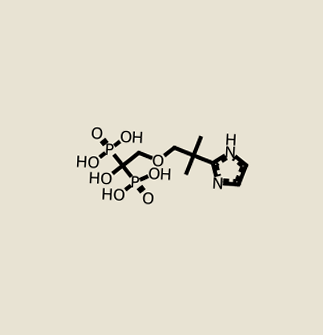 CC(C)(COCC(O)(P(=O)(O)O)P(=O)(O)O)c1ncc[nH]1